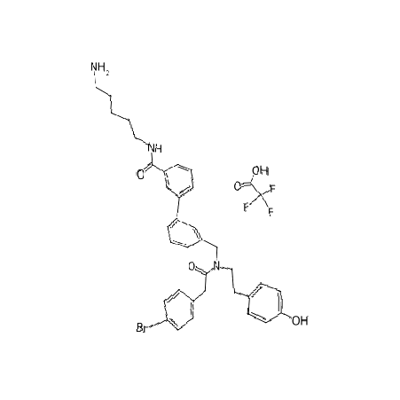 NCCCCCNC(=O)c1cccc(-c2cccc(CN(CCc3ccc(O)cc3)C(=O)Cc3ccc(Br)cc3)c2)c1.O=C(O)C(F)(F)F